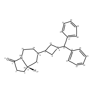 O=C1CC[C@H]2CN(C3CN(C(c4ccccc4)c4ccccc4)C3)CCN12